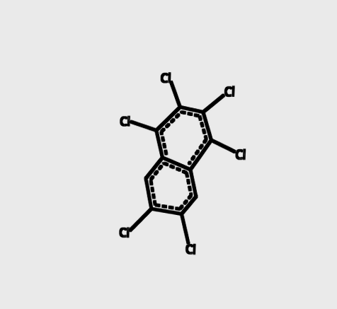 Clc1cc2c(Cl)c(Cl)c(Cl)c(Cl)c2cc1Cl